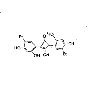 CCc1cc(C2=C(O)C(c3cc(CC)c(O)cc3O)C2=O)c(O)cc1O